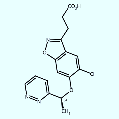 C[C@H](Oc1cc2onc(CCC(=O)O)c2cc1Cl)c1cccnn1